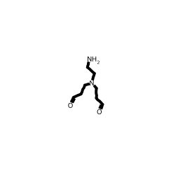 NCCN(CCC=O)CCC=O